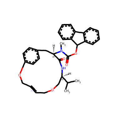 CC(C)[C@H]1COC/C=C/COc2ccc(cc2)C[C@@H](N(C)C(=O)OC2c3ccccc3-c3ccccc32)C(=O)N1